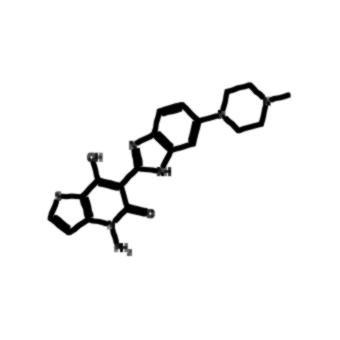 CN1CCN(c2ccc3nc(-c4c(O)c5sccc5n(P)c4=O)[nH]c3c2)CC1